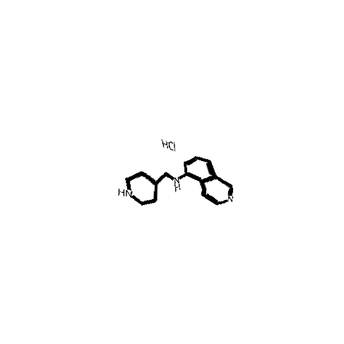 Cl.c1cc(NCC2CCNCC2)c2ccncc2c1